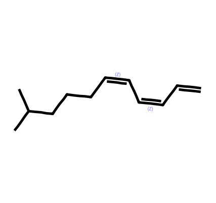 C=C/C=C\C=C/CCCC(C)C